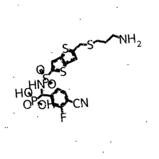 N#Cc1ccc(C(NS(=O)(=O)c2cc3sc(CSCCCN)cc3s2)P(=O)(O)O)cc1F